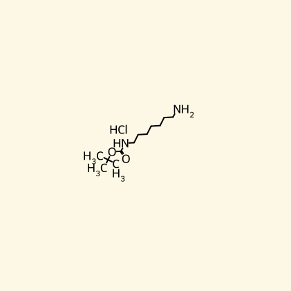 CC(C)(C)OC(=O)NCCCCCCCN.Cl